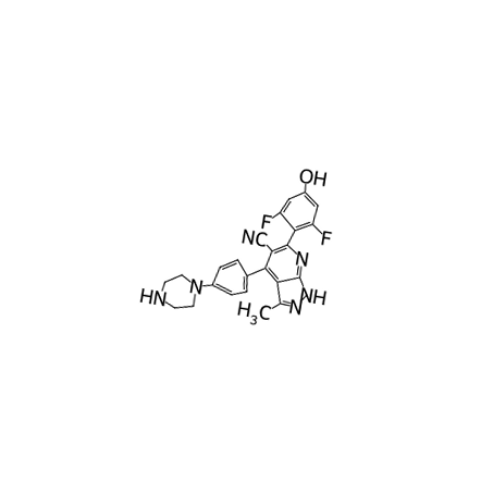 Cc1n[nH]c2nc(-c3c(F)cc(O)cc3F)c(C#N)c(-c3ccc(N4CCNCC4)cc3)c12